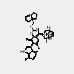 Fc1cc2c(N3C[C@H]4CC[C@@H](C3)N4)nc(OCC34CCCN3CCC4)nc2c(F)c1-c1c[nH]c2c(F)ccc(F)c12